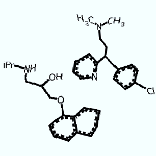 CC(C)NCC(O)COc1cccc2ccccc12.CN(C)CCC(c1ccc(Cl)cc1)c1ccccn1